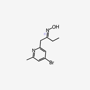 CC/C(Cc1cc(Br)cc(C)n1)=N\O